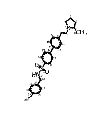 CC1CCCN1CCc1ccc(-c2ccc(S(=O)(=O)NCc3ccc(F)cc3)cc2)cc1